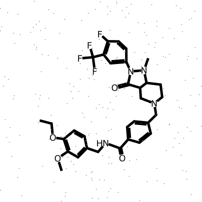 CCOc1ccc(CNC(=O)c2ccc(CN3CCC4C(C3)C(=O)N(c3ccc(F)c(C(F)(F)F)c3)N4C)cc2)cc1OC